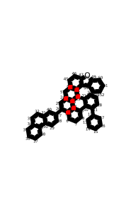 c1ccc(-c2ccccc2-c2c(-c3ccccc3)cccc2N(c2ccc(-c3ccc4c(ccc5ccccc54)c3)cc2)c2cccc3oc4ccccc4c23)cc1